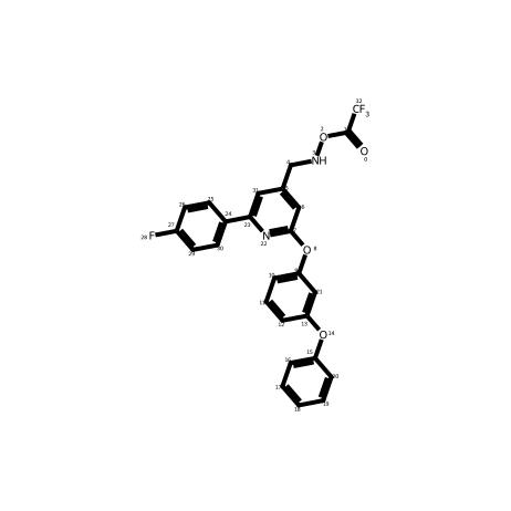 O=C(ONCc1cc(Oc2cccc(Oc3ccccc3)c2)nc(-c2ccc(F)cc2)c1)C(F)(F)F